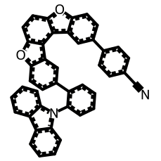 N#Cc1ccc(-c2ccc3oc4ccc5oc6ccc(-c7ccccc7-n7c8ccccc8c8ccccc87)cc6c5c4c3c2)cc1